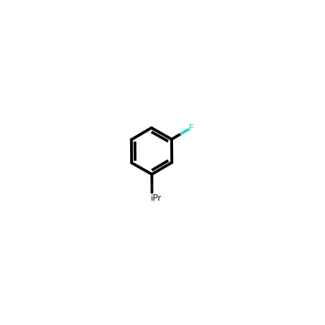 [CH2]C(C)c1cccc(F)c1